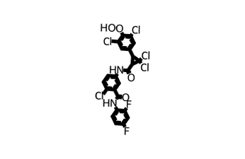 O=C(Nc1ccc(F)cc1F)c1cc(NC(=O)C2C(c3cc(Cl)c(OO)c(Cl)c3)C2(Cl)Cl)ccc1Cl